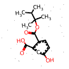 CC(C)C(C)(C)OC(=O)c1ccc(O)cc1C(=O)O